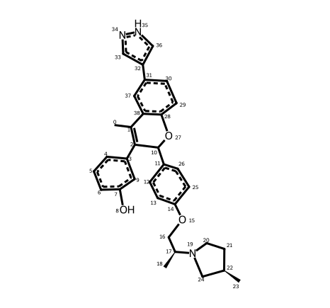 CC1=C(c2cccc(O)c2)C(c2ccc(OC[C@H](C)N3CC[C@@H](C)C3)cc2)Oc2ccc(-c3cn[nH]c3)cc21